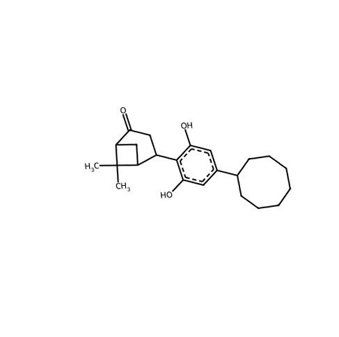 CC1(C)C2CC1C(c1c(O)cc(C3CCCCCCC3)cc1O)CC2=O